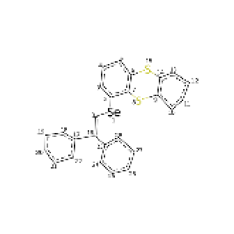 C([Se]c1cccc2c1Sc1ccccc1S2)=C(c1ccccc1)c1ccccc1